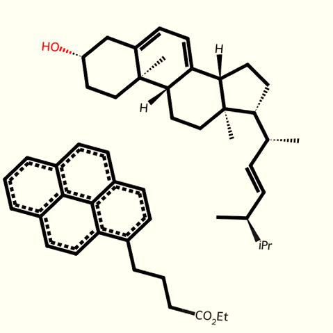 CC(C)[C@@H](C)/C=C/[C@@H](C)[C@H]1CC[C@H]2C3=CC=C4C[C@@H](O)CC[C@]4(C)[C@H]3CC[C@]12C.CCOC(=O)CCCc1ccc2ccc3cccc4ccc1c2c34